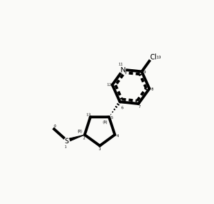 CS[C@@H]1CC[C@@H](c2ccc(Cl)nc2)C1